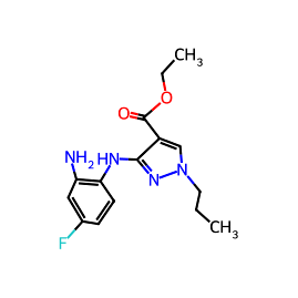 CCCn1cc(C(=O)OCC)c(Nc2ccc(F)cc2N)n1